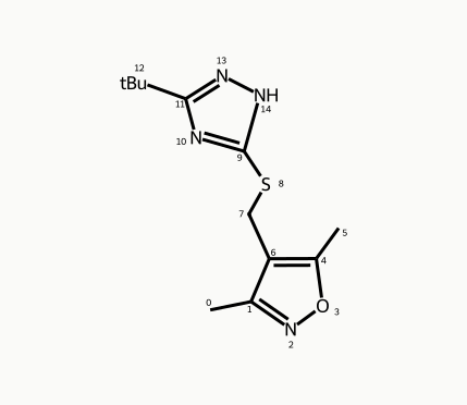 Cc1noc(C)c1CSc1nc(C(C)(C)C)n[nH]1